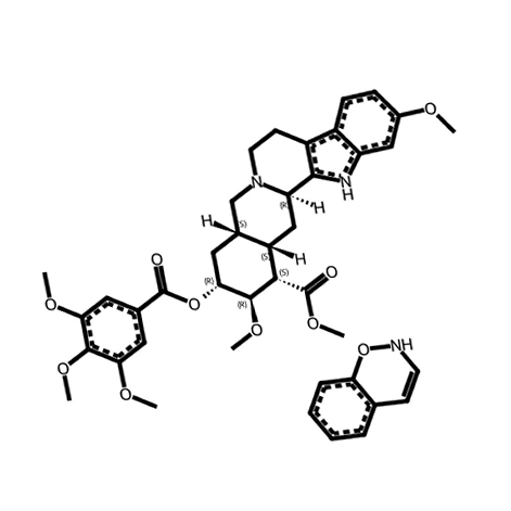 C1=Cc2ccccc2ON1.COC(=O)[C@H]1[C@H]2C[C@@H]3c4[nH]c5cc(OC)ccc5c4CCN3C[C@H]2C[C@@H](OC(=O)c2cc(OC)c(OC)c(OC)c2)[C@@H]1OC